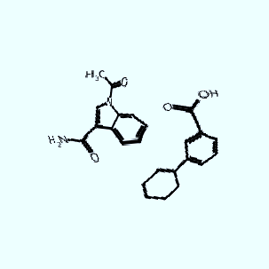 CC(=O)n1cc(C(N)=O)c2ccccc21.O=C(O)c1cccc(C2CCCCC2)c1